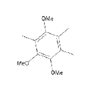 COc1c(C)c(C)c(OC)c(OC)c1C